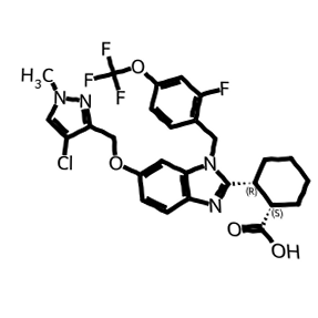 Cn1cc(Cl)c(COc2ccc3nc([C@@H]4CCCC[C@@H]4C(=O)O)n(Cc4ccc(OC(F)(F)F)cc4F)c3c2)n1